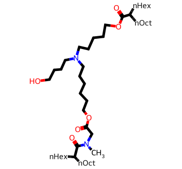 CCCCCCCCC(CCCCCC)C(=O)OCCCCCN(CCCCO)CCCCCCOC(=O)CN(C)C(=O)C(CCCCCC)CCCCCCCC